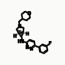 Fc1cccc(-c2ccc(NC3[C@H]4CN(CC5CCOCC5)C[C@@H]34)nn2)c1